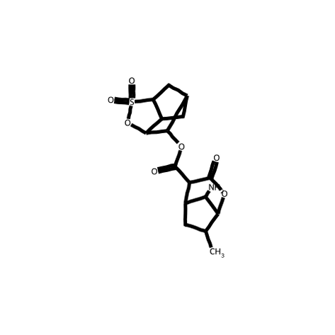 CC1CC2C(C(=O)OC3C4CC5C3OS(=O)(=O)C5C4)C(=O)OC1C2N